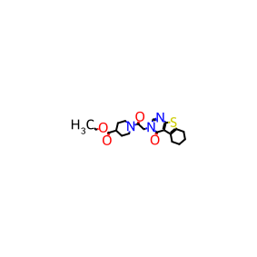 CCOC(=O)C1CCN(C(=O)Cn2cnc3sc4c(c3c2=O)CCCC4)CC1